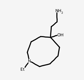 CCN1CCCCC(O)(CCN)CCC1